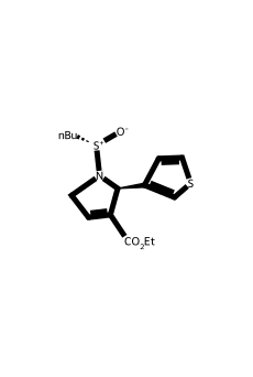 CCCC[S@+]([O-])N1CC=C(C(=O)OCC)[C@@H]1c1ccsc1